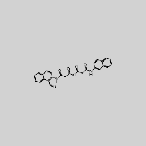 O=Cc1c(NC(=O)CC(=O)OC(=O)CC(=O)Nc2ccc3ccccc3c2)ccc2ccccc12